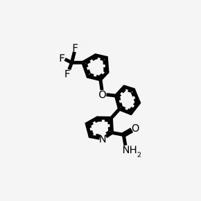 NC(=O)c1ncccc1-c1ccccc1Oc1cccc(C(F)(F)F)c1